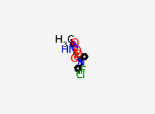 Cc1cc(NC(=O)CS(=O)(=O)c2cn(Cc3cccc(Cl)c3F)c3ccccc23)no1